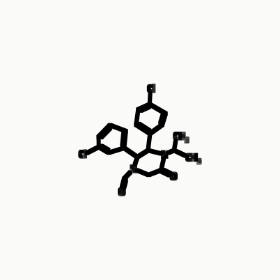 CC(C)N1C(=O)CN(C=O)C(c2cccc(Cl)c2)C1c1ccc(Cl)cc1